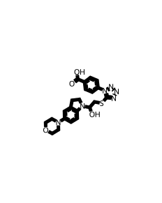 O=C(O)c1ccc(-n2nnnc2SCC(O)N2CCc3cc(N4CCOCC4)ccc32)cc1